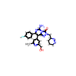 Cc1cc(-c2c(-c3ccc(F)cc3)nc(N)n3c(=O)n(CC4CCCN=N4)nc23)cc(CO)n1